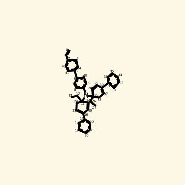 C=Cc1ccc(-c2ccc(N(C3(CC)C=CC(c4ccccc4)=CC3)C3(CC)C=CC(c4ccccc4)=CC3)cc2)cc1